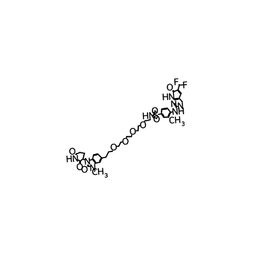 Cc1cc(S(=O)(=O)NCCOCCOCCOCCOCCCc2ccc3c(c2)n(C)c(=O)n3C2CCC(=O)NC2=O)ccc1Nc1ncc2cc(C(F)F)c(=O)[nH]c2n1